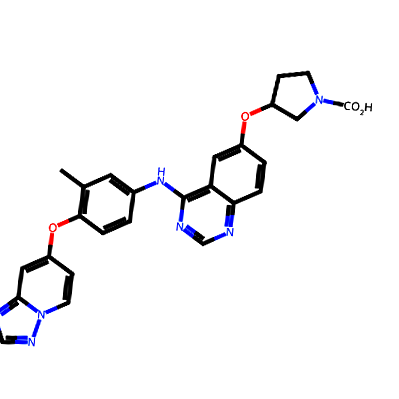 Cc1cc(Nc2ncnc3ccc(OC4CCN(C(=O)O)C4)cc23)ccc1Oc1ccn2ncnc2c1